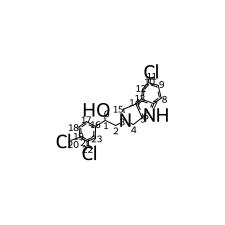 OC(CN1Cc2[nH]c3ccc(Cl)cc3c2C1)c1ccc(Cl)c(Cl)c1